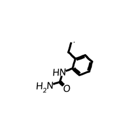 [CH2]Cc1ccccc1NC(N)=O